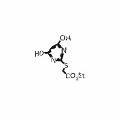 CCOC(=O)CSc1nc(O)cc(O)n1